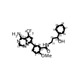 COc1ccc(-c2cc(C(F)(F)F)c3c(N)ncnn23)cc1C(=O)NCCC(O)c1ccccc1